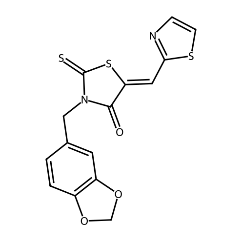 O=C1C(=Cc2nccs2)SC(=S)N1Cc1ccc2c(c1)OCO2